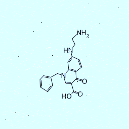 NCCNc1ccc2c(=O)c(C(=O)O)cn(Cc3ccccc3)c2c1